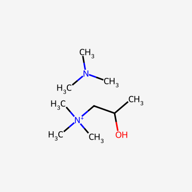 CC(O)C[N+](C)(C)C.CN(C)C